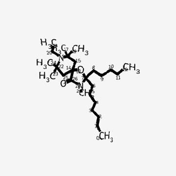 CCCCCCCC1(CCCCC)OC2(CC(C)(C)N(CC)C(C)(C)C2)C(=O)N1C